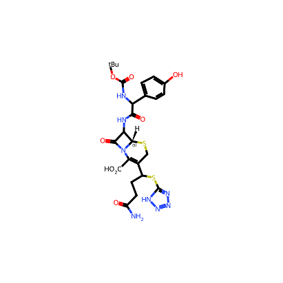 CC(C)(C)OC(=O)NC(C(=O)NC1C(=O)N2C(C(=O)O)=C(C(CCC(N)=O)Sc3nnn[nH]3)CS[C@@H]12)c1ccc(O)cc1